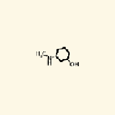 CN[C@@H]1CCC[C@@H](O)C1